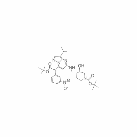 CC(C)c1cnn2c(N(C(=O)OC(C)(C)C)c3cccc([N+](=O)[O-])c3)cc(NC[C@H]3CCN(C(=O)OC(C)(C)C)C[C@@H]3O)nc12